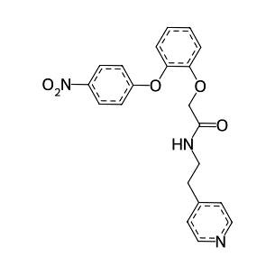 O=C(COc1ccccc1Oc1ccc([N+](=O)[O-])cc1)NCCc1ccncc1